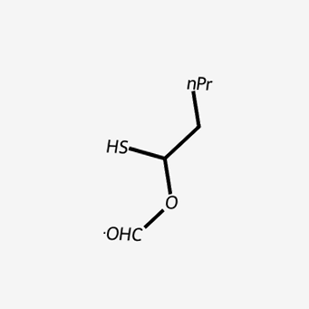 CCCCC(S)O[C]=O